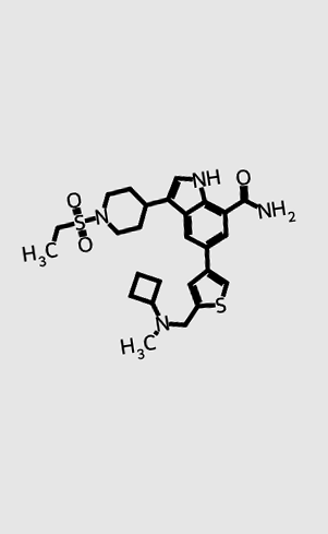 CCS(=O)(=O)N1CCC(c2c[nH]c3c(C(N)=O)cc(-c4csc(CN(C)C5CCC5)c4)cc23)CC1